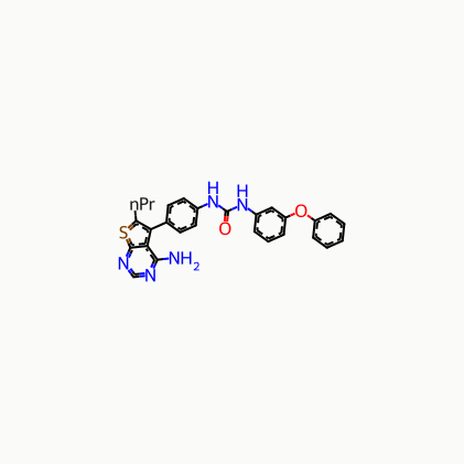 CCCc1sc2ncnc(N)c2c1-c1ccc(NC(=O)Nc2cccc(Oc3ccccc3)c2)cc1